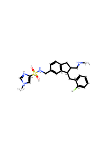 CNCC1Cc2ccc(CNS(=O)(=O)c3cn(C)cn3)cc2C1Cc1ccccc1F